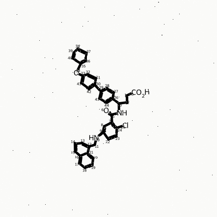 O=C(O)CCC(NC(=O)c1cc(NCc2cccc3ccccc23)ccc1Cl)c1ccc(-c2ccc(Oc3ccccc3)cc2)cc1